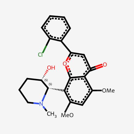 COc1cc(OC)c2c(=O)cc(-c3ccccc3Cl)oc2c1[C@H]1[C@@H](O)CCCN1C